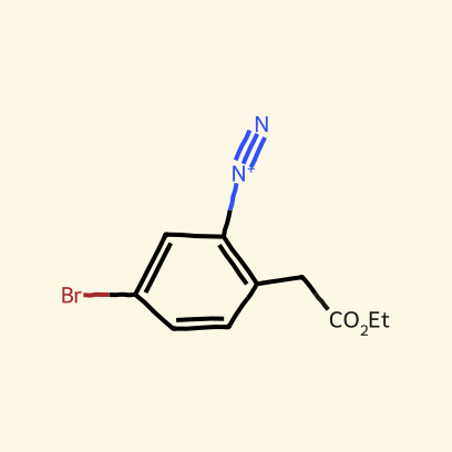 CCOC(=O)Cc1ccc(Br)cc1[N+]#N